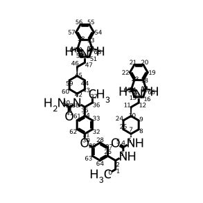 CCC(NC(=O)N[C@H]1CC[C@H](CCN2[C@@H]3CC[C@H]2c2ccccc23)CC1)c1ccc(Oc2ccc(C(CC)N(C(N)=O)[C@H]3CC[C@H](CCN4[C@@H]5CC[C@H]4c4ccccc45)CC3)cc2)cc1